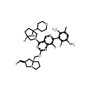 Cc1cc(N)c(F)c(-c2ncc3c(N4C[C@@H]5CC[C@](C6CCOCC6)(C4)N5)nc(OC[C@@]45CCCN4C/C(=C\F)C5)nc3c2F)c1C(F)(F)F